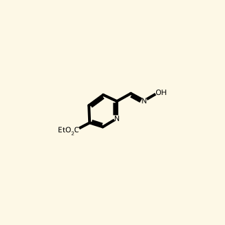 CCOC(=O)c1ccc(/C=N/O)nc1